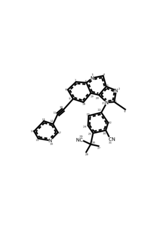 Cc1nc2cnc3ccc(C#Cc4cccnc4)cc3c2n1-c1ccc(C(C)(C)C#N)c(C#N)c1